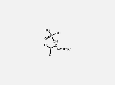 O=P(O)(O)O.[K+].[K+].[Na+].[O-]B([O-])[O-]